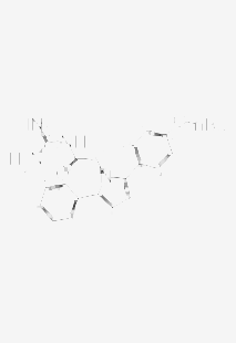 CCCCOc1ccc(-c2ccc(-c3ccccc3)n2CC(=O)NC(=N)N)cc1